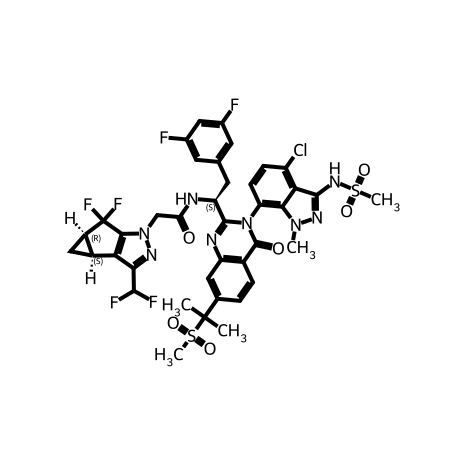 Cn1nc(NS(C)(=O)=O)c2c(Cl)ccc(-n3c([C@H](Cc4cc(F)cc(F)c4)NC(=O)Cn4nc(C(F)F)c5c4C(F)(F)[C@@H]4C[C@H]54)nc4cc(C(C)(C)S(C)(=O)=O)ccc4c3=O)c21